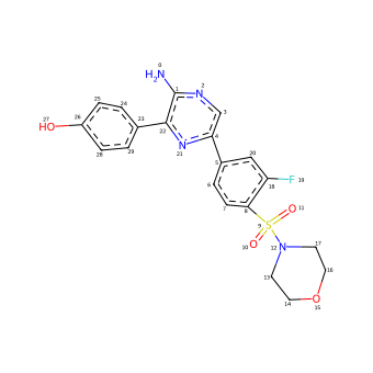 Nc1ncc(-c2ccc(S(=O)(=O)N3CCOCC3)c(F)c2)nc1-c1ccc(O)cc1